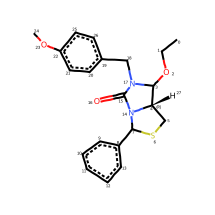 CCOC1[C@@H]2CSC(c3ccccc3)N2C(=O)N1Cc1ccc(OC)cc1